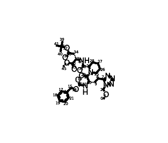 COCn1nnnc1CC[C@H](NC(=O)OCc1ccccc1)C(=O)N1CCCC[C@H]1C(=O)N[C@@H](CC(=O)OC(C)(C)C)C(=O)OC